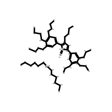 CCCCC1=C(c2cc(CCCC)c(CCCC)c(CCCC)c2)[N+](=[N-])C(c2cc(CCC)c(CCC)c(CCC)c2)=C1.CCCCC[CH2][Ni][CH2]CCCCC